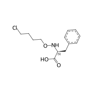 O=C(O)[C@H](Cc1ccccc1)NOCCCCCl